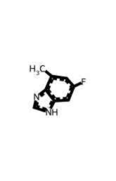 Cc1cc(F)cc2[nH]cnc12